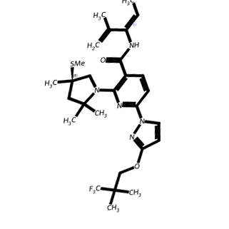 C=C(C)/C(=C\C)NC(=O)c1ccc(-n2ccc(OCC(C)(C)C(F)(F)F)n2)nc1N1C[C@](C)(SC)CC1(C)C